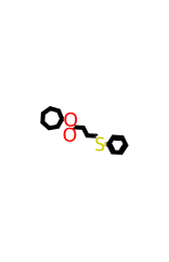 O=C(CCCSc1ccccc1)OC1CCCCCC1